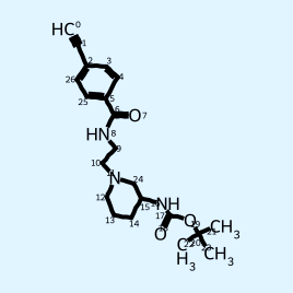 C#Cc1ccc(C(=O)NCCN2CCCC(NC(=O)OC(C)(C)C)C2)cc1